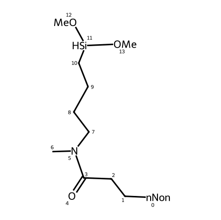 CCCCCCCCCCCC(=O)N(C)CCCC[SiH](OC)OC